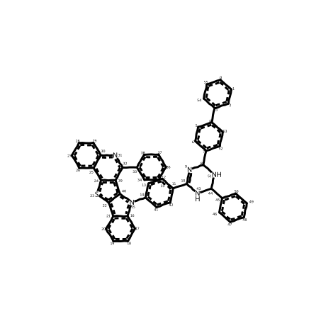 c1ccc(-c2ccc(C3N=C(c4ccc(-n5c6ccccc6c6sc7c8ccccc8nc(-c8ccccc8)c7c65)cc4)NC(c4ccccc4)N3)cc2)cc1